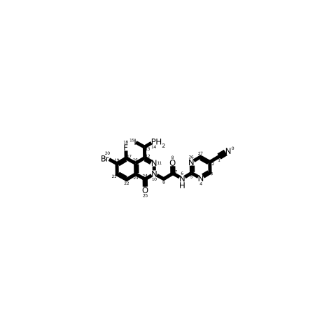 N#Cc1cnc(NC(=O)Cn2nc(C(P)I)c3c(F)c(Br)ccc3c2=O)nc1